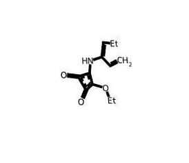 C=C/C(=C\CC)Nc1c(OCC)c(=O)c1=O